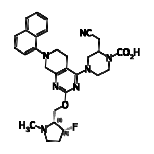 CN1CC[C@@H](F)[C@H]1COc1nc2c(c(N3CCN(C(=O)O)C(CC#N)C3)n1)CCN(c1cccc3ccccc13)C2